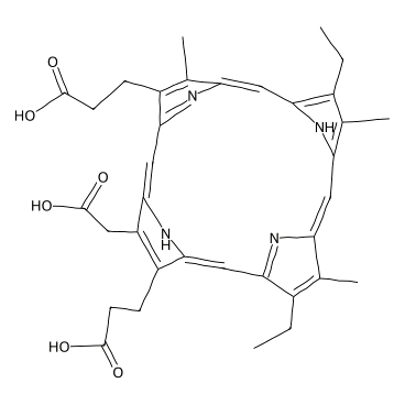 CCC1=C(C)c2cc3[nH]c(cc4nc(cc5[nH]c(cc1n2)c(CCC(=O)O)c5CC(=O)O)C(CCC(=O)O)=C4C)c(CC)c3C